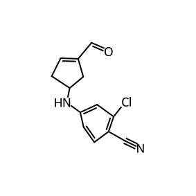 N#Cc1ccc(NC2CC=C(C=O)C2)cc1Cl